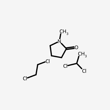 CC(Cl)Cl.CN1CCCC1=O.ClCCCl